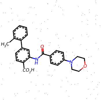 Cc1ccccc1-c1ccc(C(=O)O)c(NC(=O)c2ccc(N3CCOCC3)cc2)c1